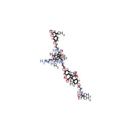 CCC(C)(C)C(=O)NCCCOc1ccc2c(c1)OC(=O)C1C2(C)C2C(=O)Oc3cc(OCCCNC(=O)C(C)(CC(C)(C)C(=O)NCCN)CC(C)(CC)C(=O)NCCCOc4ccc5c(C)cc(=O)oc5c4)ccc3C12C